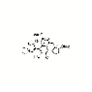 COCC1OC(=O)C(=CN2CCCC2)C2=C(O)C(=O)C3=C(C(OC(C)=O)CC4(C)C(OC)CCC34)C21C